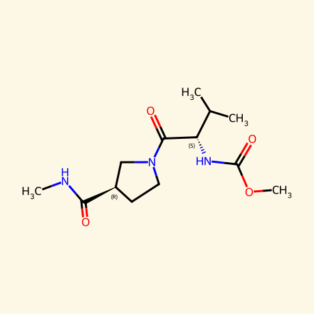 CNC(=O)[C@@H]1CCN(C(=O)[C@@H](NC(=O)OC)C(C)C)C1